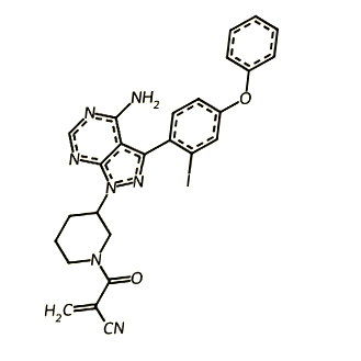 C=C(C#N)C(=O)N1CCCC(n2nc(-c3ccc(Oc4ccccc4)cc3I)c3c(N)ncnc32)C1